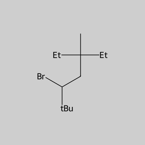 CCC(C)(CC)CC(Br)C(C)(C)C